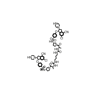 CC(NC(=O)NCCCCNC(=O)NC(C)C(=O)N1CC[C@H](NS(=O)(=O)c2ccc(O[C@H]3c4cc(Cl)cc(C#N)c4C[C@@H]3N3CCNCC3)cc2)C1)C(=O)N1CC[C@H](NS(=O)(=O)c2ccc(O[C@H]3c4cc(Cl)cc(C#N)c4C[C@@H]3N3CCNCC3)cc2)C1